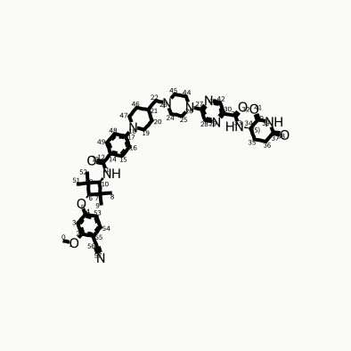 COc1cc(O[C@H]2C(C)(C)[C@H](NC(=O)c3ccc(N4CCC(CN5CCN(c6cnc(C(=O)N[C@H]7CCC(=O)NC7=O)cn6)CC5)CC4)cc3)C2(C)C)ccc1C#N